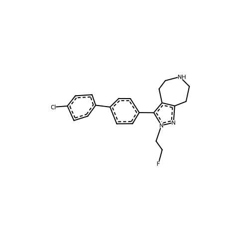 FCCn1nc2c(c1-c1ccc(-c3ccc(Cl)cc3)cc1)CCNCC2